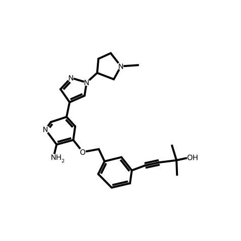 CN1CCC(n2cc(-c3cnc(N)c(OCc4cccc(C#CC(C)(C)O)c4)c3)cn2)C1